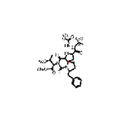 COC(=O)C(C(C)OC(C)=O)N(C(=O)C1CCC(C(=O)[C@H](NC(=O)OC(C)(C)C)[C@@H](C)OC(C)=O)N1)C(=O)N1CCCC1Cc1ccccc1